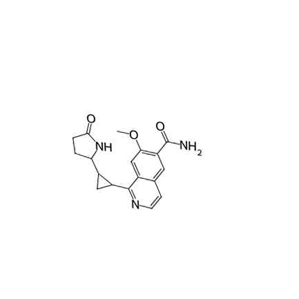 COc1cc2c(C3CC3C3CCC(=O)N3)nccc2cc1C(N)=O